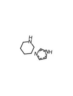 C1CCNCC1.c1c[nH]cn1